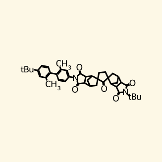 Cc1cc(N2C(=O)C3C4CC(C3C2=O)C2(CCC3(CC5CC3C3C(=O)N(C(C)(C)C)C(=O)C53)C2=O)C4)ccc1-c1ccc(C(C)(C)C)cc1C